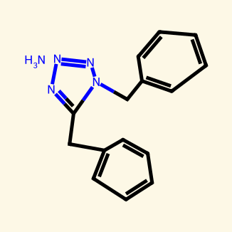 N.c1ccc(Cc2nnnn2Cc2ccccc2)cc1